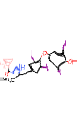 BC(=O)NC(Cc1cc(I)c(Oc2cc(I)c(O)c(I)c2)c(I)c1)C(=O)O